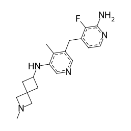 Cc1c(Cc2ccnc(N)c2F)cncc1NC1CC2(C1)CN(C)C2